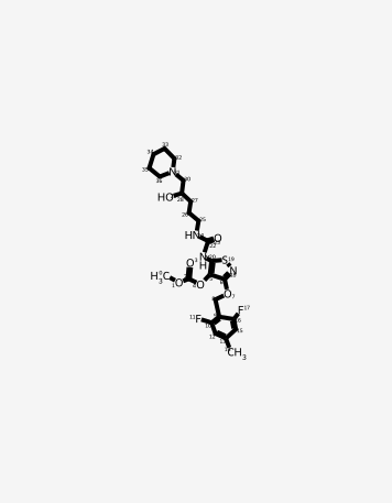 COC(=O)Oc1c(OCc2c(F)cc(C)cc2F)nsc1NC(=O)NCCCC(O)CN1CCCCC1